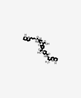 CC(CCNC(=O)C1CCN(C(C(=O)O)c2ccc(C(C(=O)O)N3C[C@@H]4[C@H](C3)[C@@H]4C(=O)NCCCc3ccc4c(n3)NCCC4)c(Cl)c2)CC1)c1ccc2c(n1)NCCC2